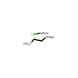 CCCCCCCCCC(=O)O.CCCCCCl